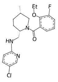 CCOc1c(F)cccc1C(=O)N1C[C@@H](C)CC[C@H]1CNc1ccc(Cl)cn1